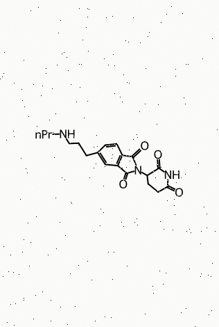 CCCNCCCc1ccc2c(c1)C(=O)N(C1CCC(=O)NC1=O)C2=O